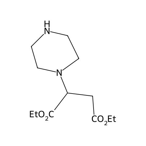 CCOC(=O)CC(C(=O)OCC)N1CCNCC1